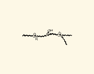 CCCCCCCCOC(=O)NCCCCCCCCN(CCO)CCCCCCCCOC(=O)N(CCCCCCCC)CCCCCCCC